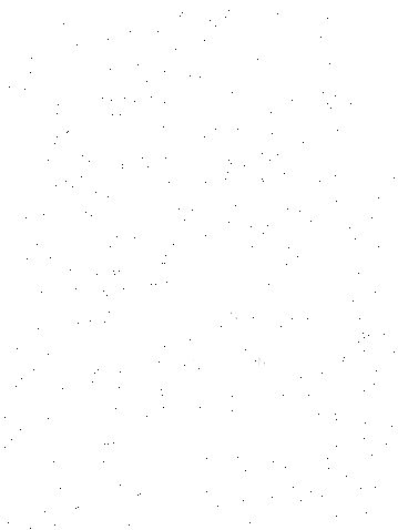 FC(F)(F)c1ccccc1C(CCn1ccnc1)Sc1ccc(Cl)c(Cl)c1